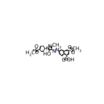 C=CS(=O)(=O)C1=CCC(n2nc(C)c(/N=N/c3ccc4c(S(=O)O)cc(S(C)(=O)=O)cc4c3)c2O)C=C1